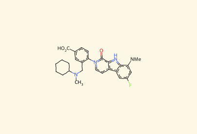 CNc1cc(F)cc2c1[nH]c1c(=O)n(-c3ccc(C(=O)O)cc3CN(C)C3CCCCC3)ccc12